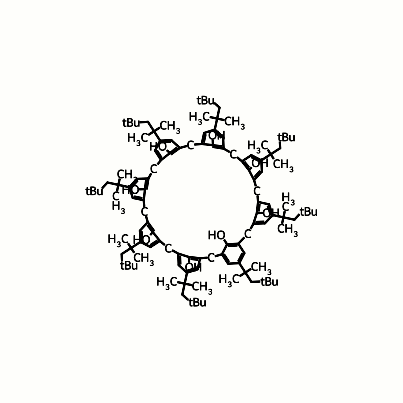 CC(C)(C)CC(C)(C)c1cc2c(O)c(c1)Cc1cc(C(C)(C)CC(C)(C)C)cc(c1O)Cc1cc(C(C)(C)CC(C)(C)C)cc(c1O)Cc1cc(C(C)(C)CC(C)(C)C)cc(c1O)Cc1cc(C(C)(C)CC(C)(C)C)cc(c1O)Cc1cc(C(C)(C)CC(C)(C)C)cc(c1O)Cc1cc(C(C)(C)CC(C)(C)C)cc(c1O)Cc1cc(C(C)(C)CC(C)(C)C)cc(c1O)C2